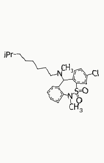 CC(C)CCCCCCN(C)C1c2ccccc2N(C)S(=O)(=O)c2cc(Cl)ccc21